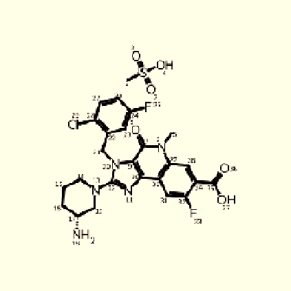 CS(=O)(=O)O.Cn1c(=O)c2c(nc(N3CCC[C@@H](N)C3)n2Cc2cc(F)ccc2Cl)c2cc(F)c(C(=O)O)cc21